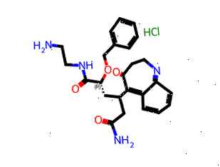 Cl.NCCNC(=O)[C@@H](CC(CC(N)=O)C1=c2ccccc2=NCCC1=O)OCc1ccccc1